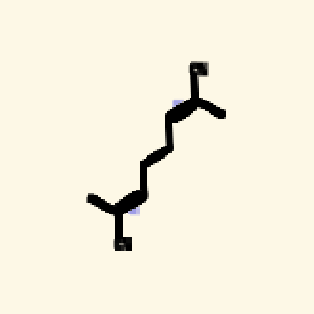 C/C(C#N)=C\CC/C=C(\C)C#N